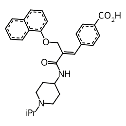 CC(C)N1CCC(NC(=O)/C(=C/c2ccc(C(=O)O)cc2)COc2cccc3ccccc23)CC1